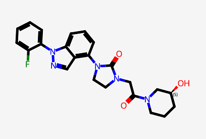 O=C(CN1CCN(c2cccc3c2cnn3-c2ccccc2F)C1=O)N1CCC[C@H](O)C1